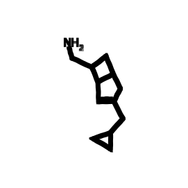 NCC1CC2CC(CC3CC3)=CC12